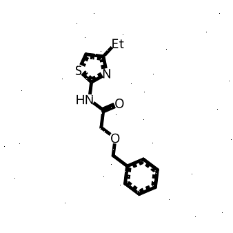 CCc1csc(NC(=O)COCc2ccccc2)n1